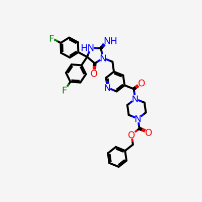 N=C1NC(c2ccc(F)cc2)(c2ccc(F)cc2)C(=O)N1Cc1cncc(C(=O)N2CCN(C(=O)OCc3ccccc3)CC2)c1